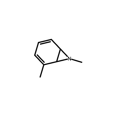 CC1=CC=CC2C1N2C